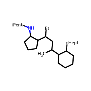 CCCCCCCC1CCCCC1C(C)CC(CC)C1CCCC1NC(C)CCC